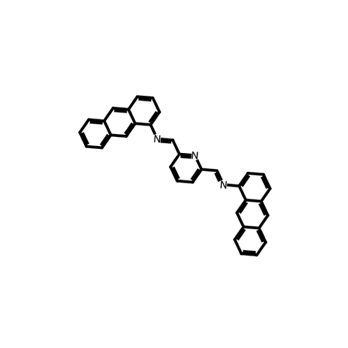 C(=Nc1cccc2cc3ccccc3cc12)c1cccc(C=Nc2cccc3cc4ccccc4cc23)n1